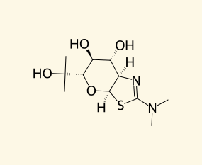 CN(C)C1=N[C@@H]2[C@@H](O)[C@H](O)[C@@H](C(C)(C)O)O[C@@H]2S1